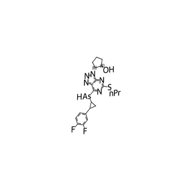 CCCSc1nc([AsH]C2CC2c2ccc(F)c(F)c2)c2nnn([C@@H]3CCC[C@H]3O)c2n1